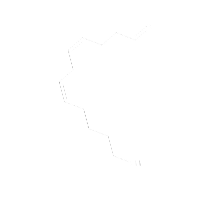 CCCCC/C=C\C/C=C\CCC=O